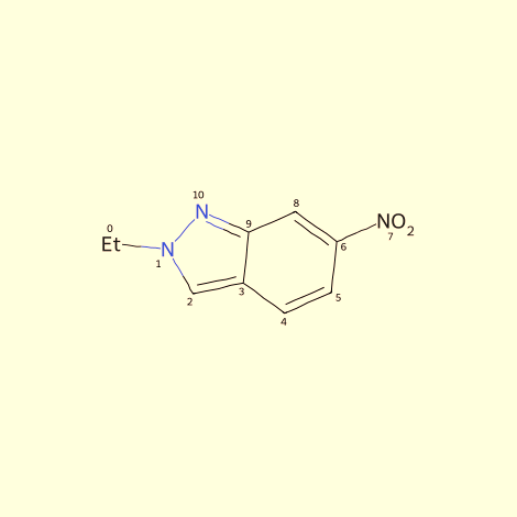 CCn1cc2ccc([N+](=O)[O-])cc2n1